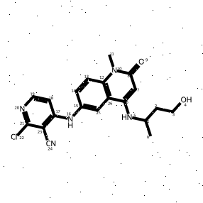 CC(CCO)Nc1cc(=O)n(C)c2ccc(Nc3ccnc(Cl)c3C#N)cc12